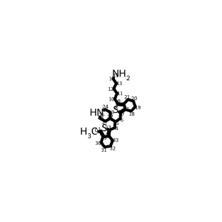 Cc1sc(CC(Cc2sc(CCCCCN)c3c2CCCC3)C2CCNCC2)c2c1CCCC2